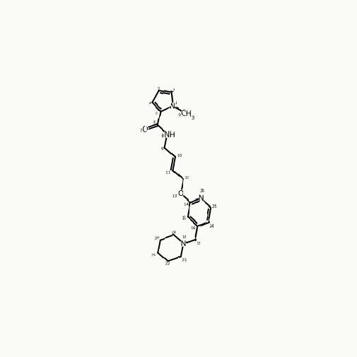 Cn1cccc1C(=O)NCC=CCOc1cc(CN2CCCCC2)ccn1